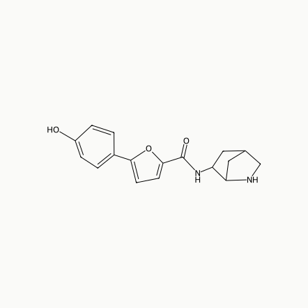 O=C(NC1CC2CNC1C2)c1ccc(-c2ccc(O)cc2)o1